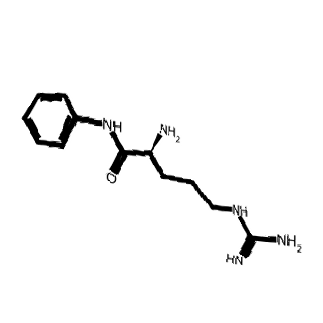 N=C(N)NCCC[C@H](N)C(=O)Nc1ccccc1